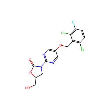 O=C1OC(CO)CN1c1ncc(OCc2c(Cl)ccc(F)c2Cl)cn1